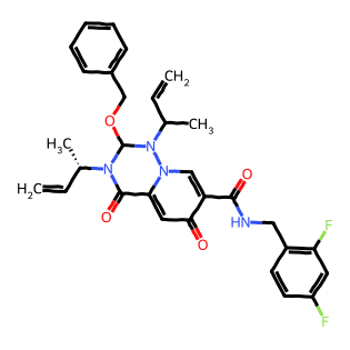 C=CC(C)N1C(OCc2ccccc2)N([C@@H](C)C=C)C(=O)c2cc(=O)c(C(=O)NCc3ccc(F)cc3F)cn21